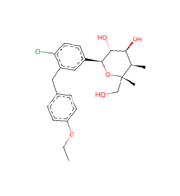 CCOc1ccc(Cc2cc([C@@H]3O[C@@](C)(CO)[C@H](C)[C@H](O)[C@H]3O)ccc2Cl)cc1